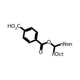 CCCCCCCCCC(CCCCCCCC)OC(=O)c1ccc(C(=O)O)cc1